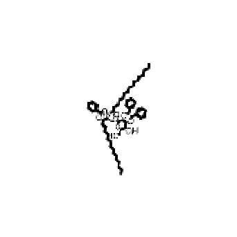 CCCCCCCCCCCCC/C=C/[C@@H](OC(=O)c1ccccc1)[C@H](CO[C@@H]1O[C@H](CO)[C@H](O)[C@H](OCc2ccccc2)[C@H]1OCc1ccccc1)NC(=O)CCCCCCCCCCCCCCC